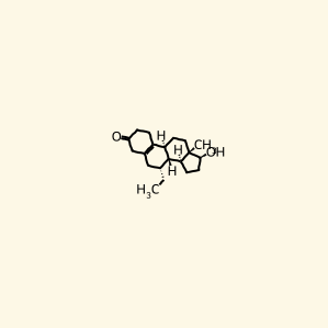 CC[C@@H]1CC2=C(CCC(=O)C2)[C@H]2CC[C@]3(C)[C@@H](O)CC[C@H]3[C@H]12